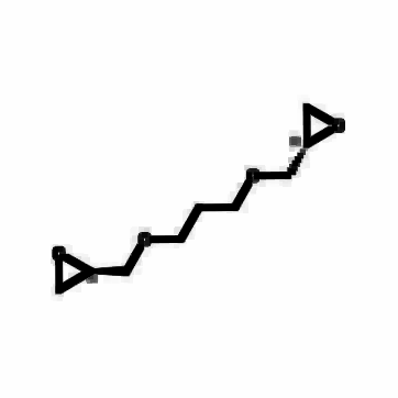 C(COC[C@@H]1CO1)COC[C@H]1CO1